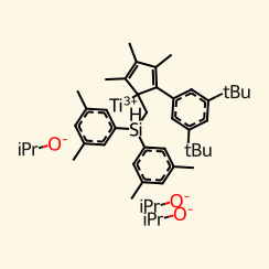 CC(C)[O-].CC(C)[O-].CC(C)[O-].CC1=C(C)[C]([Ti+3])(C[SiH](c2cc(C)cc(C)c2)c2cc(C)cc(C)c2)C(c2cc(C(C)(C)C)cc(C(C)(C)C)c2)=C1C